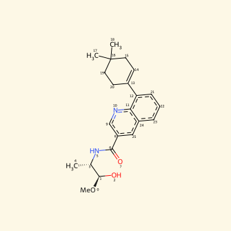 CO[C@H](O)[C@H](C)NC(=O)c1cnc2c(C3=CCC(C)(C)CC3)cccc2c1